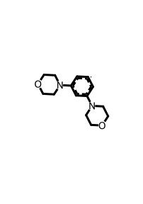 [c]1cc(N2CCOCC2)cc(N2CCOCC2)c1